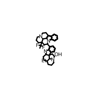 CCC12CCCN3CCC4(C(=Nc5c(C6CC7(C(C)(F)F)CCCN8CCc9c(n6c6ccccc96)C87)ccc(O)c54)CC1)C32